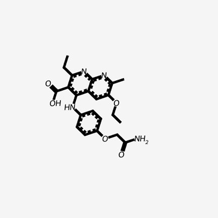 CCOc1cc2c(Nc3ccc(OCC(N)=O)cc3)c(C(=O)O)c(CC)nc2nc1C